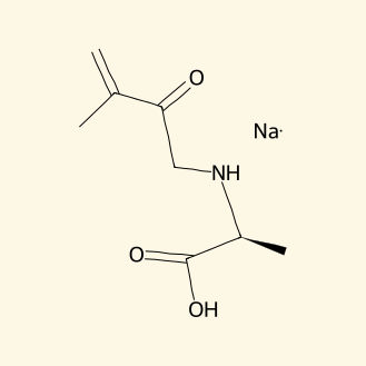 C=C(C)C(=O)CN[C@@H](C)C(=O)O.[Na]